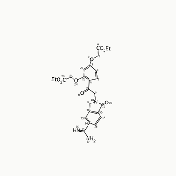 CCOC(=O)COc1ccc(C(=O)CN2Cc3cc(C(=N)N)ccc3C2=O)c(OCC(=O)OCC)c1